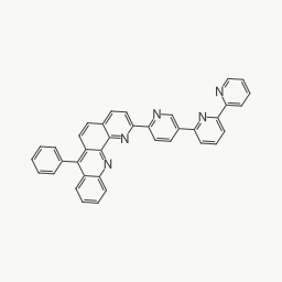 c1ccc(-c2c3ccccc3nc3c2ccc2ccc(-c4ccc(-c5cccc(-c6ccccn6)n5)cn4)nc23)cc1